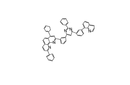 C1=CCCC(c2cc(-c3cccc(-c4cc(-c5cccc(-c6cccc7cccnc67)c5)nc(-c5ccccc5)n4)c3)nc3c2ccc2ccc(-c4ccccc4)nc23)=C1